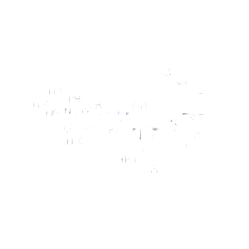 CC/C(=C\C(C)CC(C)S(=O)(=O)N(PC)PC)[C@H](O)[C@@H]1CC[C@H]1CN1C[C@@]2(CCCc3cc(Cl)ccc32)COc2ccc(C(=O)OC(C)(C)C)cc21